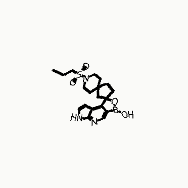 CCCS(=O)(=O)N1CCC2(CC1)CCC1(C2)OB(O)c2cnc3[nH]ccc3c21